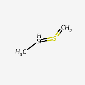 C=S=[SiH]C